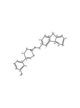 Fc1cccc(C2=CCN(CCc3ccc4c(c3)-c3ccccc3C4)CC2)c1